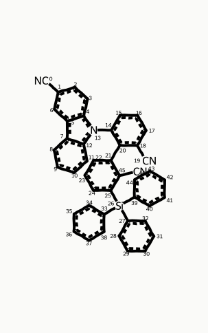 N#Cc1ccc2c(c1)c1ccccc1n2-c1cccc(C#N)c1-c1cccc([Si](c2ccccc2)(c2ccccc2)c2ccccc2)c1C#N